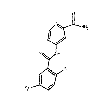 NC(=O)c1cc(NC(=O)c2cc(C(F)(F)F)ccc2Br)ccn1